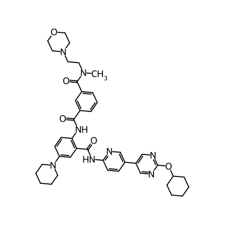 CN(CCN1CCOCC1)C(=O)c1cccc(C(=O)Nc2ccc(N3CCCCC3)cc2C(=O)Nc2ccc(-c3cnc(OC4CCCCC4)nc3)cn2)c1